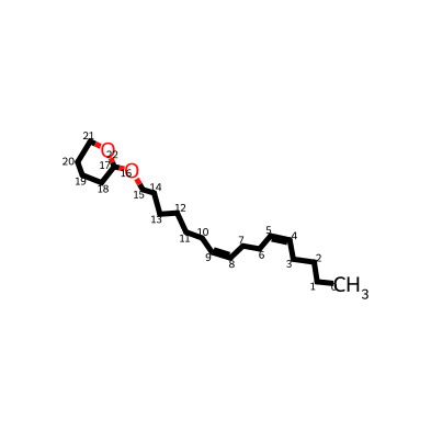 CCCC/C=C\CC/C=C\CCCCCCOC1CCCCO1